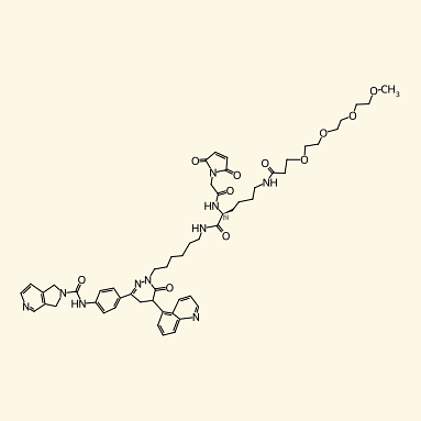 COCCOCCOCCOCCC(=O)NCCCC[C@H](NC(=O)CN1C(=O)C=CC1=O)C(=O)NCCCCCCN1N=C(c2ccc(NC(=O)N3Cc4ccncc4C3)cc2)CC(c2cccc3ncccc23)C1=O